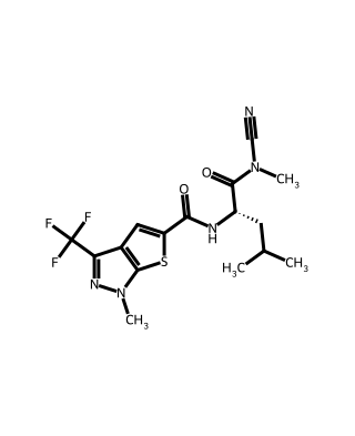 CC(C)C[C@H](NC(=O)c1cc2c(C(F)(F)F)nn(C)c2s1)C(=O)N(C)C#N